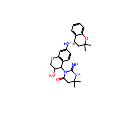 CC1(C)CC(=O)N(C2c3ccc(N[C@H]4CC(C)(C)Oc5ccccc54)cc3OCC2O)C(=N)N1